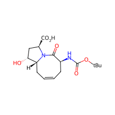 CC(C)(C)OC(=O)N[C@H]1C/C=C\C[C@@H]2[C@H](O)C[C@@H](C(=O)O)N2C1=O